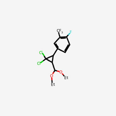 CCOC(OCC)C1C(c2ccc(F)c(C(F)(F)F)c2)C1(Cl)Cl